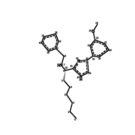 CCCCCC[C@H](NCc1ccccc1)c1nc(-c2cccc(OC)c2)c[nH]1